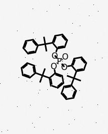 CC(C)(c1ccccc1)c1ccccc1OP(=O)(Oc1ccccc1C(C)(C)c1ccccc1)Oc1ccccc1C(C)(C)c1ccccc1